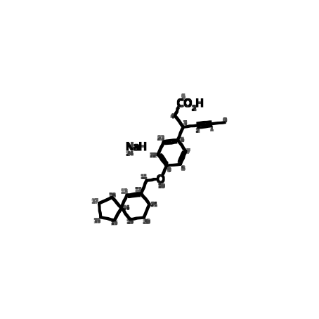 CC#CC(CC(=O)O)c1ccc(OCC2=CC3(CCCC3)CCC2)cc1.[NaH]